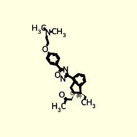 CC[C@H]1c2cccc(-c3noc(-c4ccc(OCCN(C)C)cc4)n3)c2C[C@H]1CC(C)=O